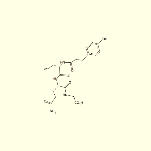 CC(C)C[C@H](NC(=O)CCc1ccc(O)cc1)C(=O)N[C@@H](CCC(N)=O)C(=O)NCC(=O)O